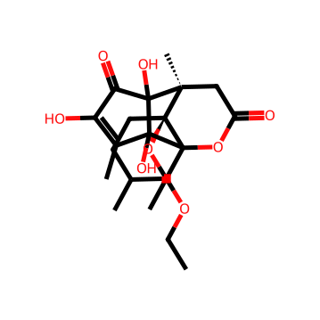 CCOC1C(C)CC[C@@]2(OCC)C13OC(=O)C[C@]2(C)C1(O)C(=O)C(O)=C(C)C13O